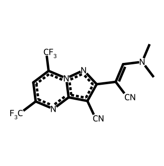 CN(C)C=C(C#N)c1nn2c(C(F)(F)F)cc(C(F)(F)F)nc2c1C#N